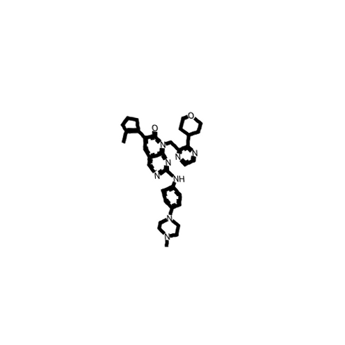 CC1=C(c2cc3cnc(Nc4ccc(N5CCN(C)CC5)cc4)nc3n(Cc3nccnc3C3CCOCC3)c2=O)CCC1